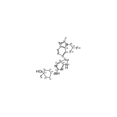 Cc1nc2ccc(-c3c[nH]c4nc(N[C@H]5CC[C@@](C)(O)CC5)ncc34)cc2n1CC(F)F